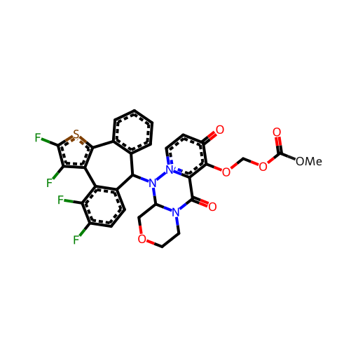 COC(=O)OCOc1c2n(ccc1=O)N(C1c3ccccc3-c3sc(F)c(F)c3-c3c1ccc(F)c3F)C1COCCN1C2=O